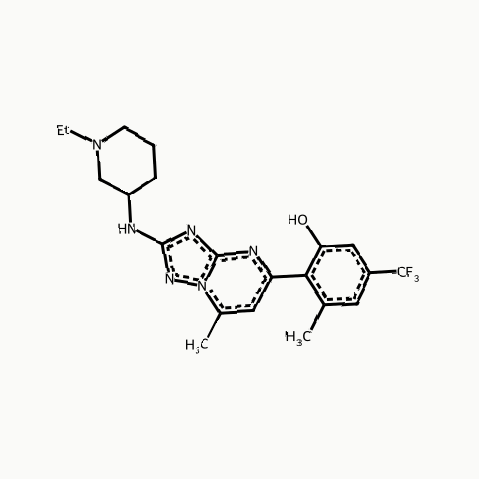 CCN1CCCC(Nc2nc3nc(-c4c(C)cc(C(F)(F)F)cc4O)cc(C)n3n2)C1